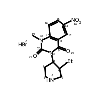 Br.CCC1CNCCC1n1c(=O)c2cc([N+](=O)[O-])ccc2n(C)c1=O